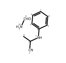 CC(C#N)Nc1ccccc1.NC=O